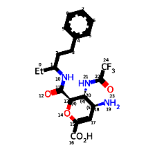 CCC(CCc1ccccc1)NC(=O)[C@@H]1OC(C(=O)O)=C[C@H](N)[C@H]1NC(=O)C(F)(F)F